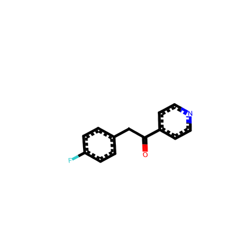 O=C([CH]c1ccc(F)cc1)c1ccncc1